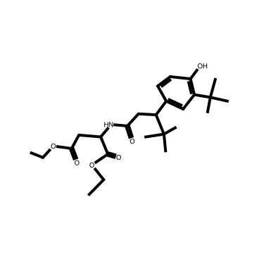 CCOC(=O)CC(NC(=O)CC(c1ccc(O)c(C(C)(C)C)c1)C(C)(C)C)C(=O)OCC